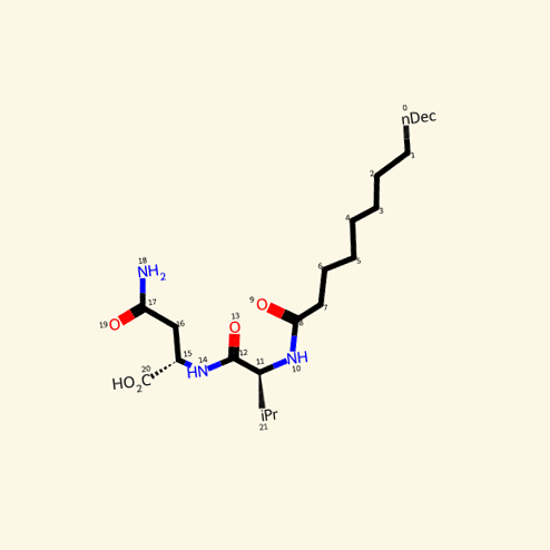 CCCCCCCCCCCCCCCCCC(=O)N[C@H](C(=O)N[C@@H](CC(N)=O)C(=O)O)C(C)C